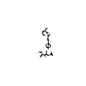 C=N/C=C(Cl)\C(=C(/C)Cl)c1noc(C2CC2)c1COC12CCC(C#Cc3cnc4c(C(=O)O)cccn34)(CC1)CC2